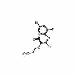 CCc1cc(F)c2nc(CC)c(OCCOC)c(=O)n2c1